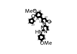 COc1ccc(Nc2nccc(N3CC(c4ccc(OC)c(OC5CCCC5)c4)CC3=O)n2)cc1